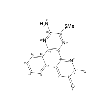 CSc1nc(-c2ccc(=O)n(C)n2)c(-c2ccccc2)nc1N